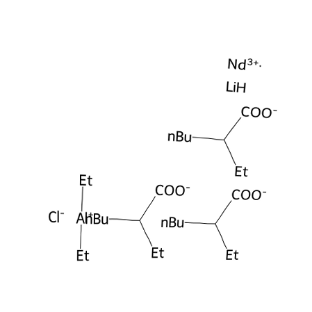 CCCCC(CC)C(=O)[O-].CCCCC(CC)C(=O)[O-].CCCCC(CC)C(=O)[O-].C[CH2][Al+][CH2]C.[Cl-].[LiH].[Nd+3]